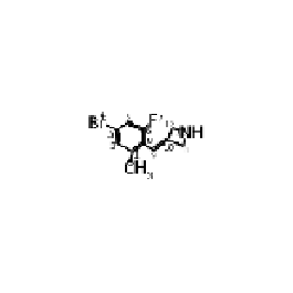 Cc1cc(Br)cc(F)c1C=C1CNC1